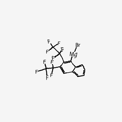 FC(F)(F)C(F)(F)c1cc2ccccc2[c]([Mg][Br])c1C(F)(F)C(F)(F)F